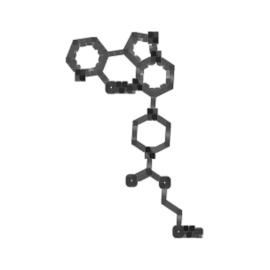 COCCOC(=O)N1CCN(c2ccn3ncc(-c4cccnc4OC)c3n2)CC1